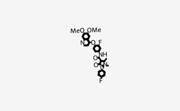 COc1cc2nccc(Oc3ccc(NC(=O)c4c(C)n(C)n(-c5ccc(F)cc5)c4=O)cc3F)c2cc1OC